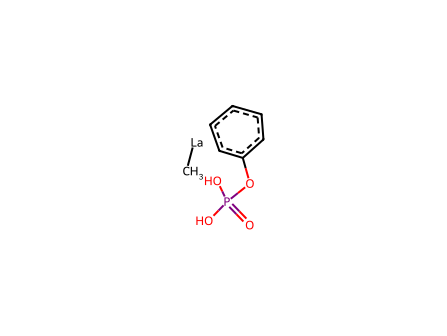 O=P(O)(O)Oc1ccccc1.[CH3][La]